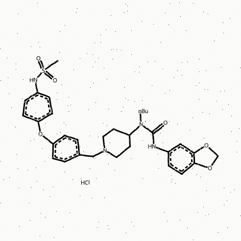 CCCCN(C(=O)Nc1ccc2c(c1)OCO2)C1CCN(Cc2ccc(Oc3ccc(NS(C)(=O)=O)cc3)cc2)CC1.Cl